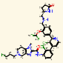 Cn1c(C(=O)Nc2cccc(-c3ccnc(-c4ccc(CNC[C@H]5CCC(=O)N5)c(OC(F)F)c4)c3Cl)c2Cl)nc2c1CCN(CCCF)C2